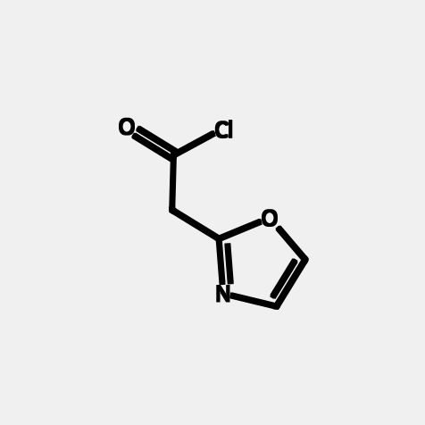 O=C(Cl)Cc1ncco1